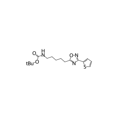 CC(C)(C)OC(=O)NCCCCCc1nc(-c2cccs2)no1